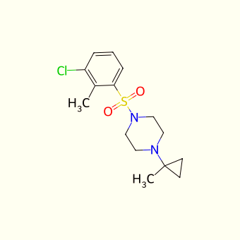 Cc1c(Cl)cccc1S(=O)(=O)N1CCN(C2(C)CC2)CC1